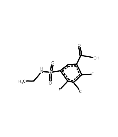 CCNS(=O)(=O)c1cc(C(=O)O)c(F)c(Cl)c1F